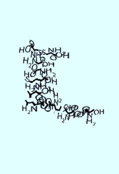 CC(C)C[C@H](N)C(=O)O.CC(C)[C@H](N)C(=O)O.CC[C@H](C)[C@H](N)C(=O)O.CSCC[C@H](N)C(=O)O.C[C@@H](O)[C@H](N)C(=O)O.C[C@H](N)C(=O)O.NCC(=O)O.N[C@@H](CO)C(=O)O.N[C@@H](CSSC[C@H](N)C(=O)O)C(=O)O